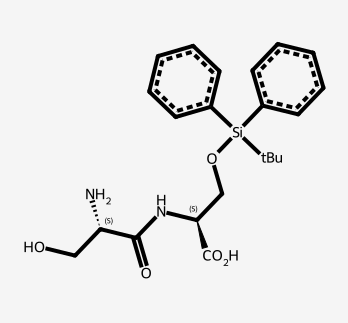 CC(C)(C)[Si](OC[C@H](NC(=O)[C@@H](N)CO)C(=O)O)(c1ccccc1)c1ccccc1